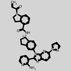 C=CC(=O)N1CCc2c(C(=O)N[C@H]3CCc4cc(-n5c(-c6cccnc6N)nc6ccc(-n7cccn7)nc65)ccc43)cccc21